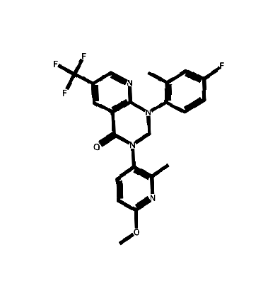 COc1ccc(N2CN(c3ccc(F)cc3C)c3ncc(C(F)(F)F)cc3C2=O)c(C)n1